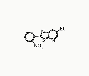 CCc1cnc2sc(-c3ccccc3[N+](=O)[O-])nc2c1